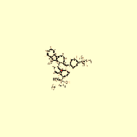 C[Si](C)(C)c1ccc(C(c2ccc([Si](C)(C)C)cc2)=c2ccc3c(c2C2=CC=CC2)[C]([Zr+2])=c2ccccc2=3)cc1.[Cl-].[Cl-]